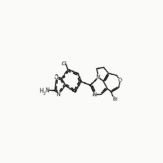 Nc1nc2cc(C3=NC=C4C(Br)=COCC5=C4N3CC5)cc(Cl)c2o1